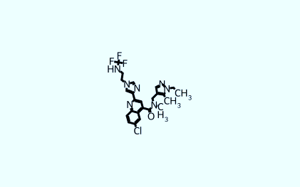 CCn1ncc(CN(C)C(=O)c2cc(-c3cn(CCNC(F)(F)F)cn3)nc3ccc(Cl)cc23)c1C